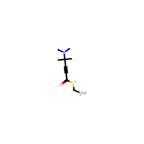 CN(C)C(C)(C)C#CC(=O)SCC(=O)O